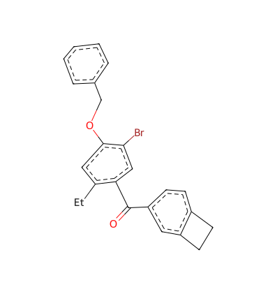 CCc1cc(OCc2ccccc2)c(Br)cc1C(=O)c1ccc2c(c1)CC2